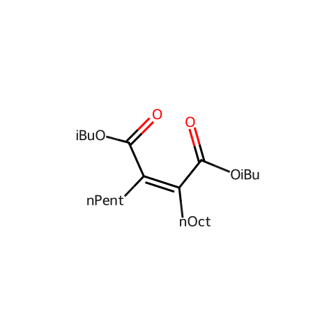 CCCCCCCC/C(C(=O)OCC(C)C)=C(\CCCCC)C(=O)OCC(C)C